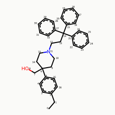 CCc1ccc(C2(CO)CCN(CCC(c3ccccc3)(c3ccccc3)c3ccccc3)CC2)cc1